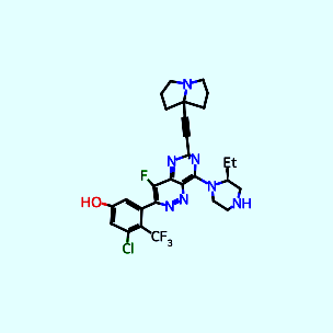 CC[C@H]1CNCCN1c1nc(C#CC23CCCN2CCC3)nc2c(F)c(-c3cc(O)cc(Cl)c3C(F)(F)F)nnc12